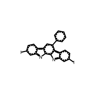 Ic1ccc2c(c1)=Nc1c3c(c(-c4ccccc4)cc1=2)=c1ccc(I)cc1=N3